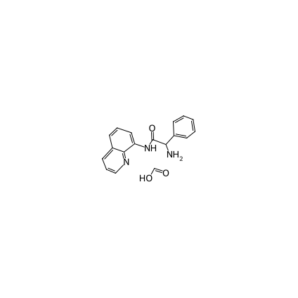 NC(C(=O)Nc1cccc2cccnc12)c1ccccc1.O=CO